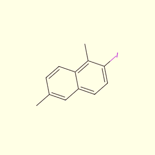 Cc1ccc2c(C)c(I)ccc2c1